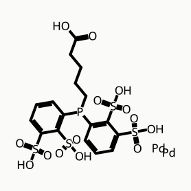 O=C(O)CCCCP(c1cccc(S(=O)(=O)O)c1S(=O)(=O)O)c1cccc(S(=O)(=O)O)c1S(=O)(=O)O.[Pd].[Pd]